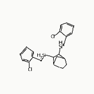 Clc1ccccc1C[SiH2]C1C2CCC(C2)C1[SiH2]Cc1ccccc1Cl